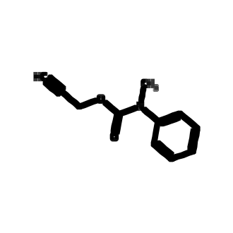 C#CCOC(=O)N(C)c1ccccc1